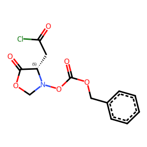 O=C(Cl)C[C@H]1C(=O)OCN1OC(=O)OCc1ccccc1